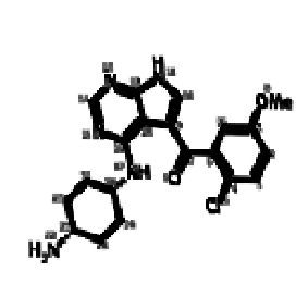 COc1ccc(Cl)c(C(=O)c2c[nH]c3ncnc(N[C@H]4CC[C@@H](N)CC4)c23)c1